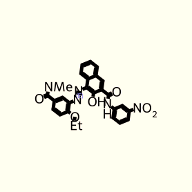 CCOc1ccc(C(=O)NC)cc1/N=N/c1c(O)c(C(=O)Nc2cccc([N+](=O)[O-])c2)cc2ccccc12